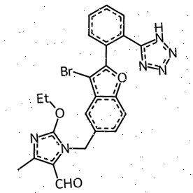 CCOc1nc(C)c(C=O)n1Cc1ccc2oc(-c3ccccc3-c3nnn[nH]3)c(Br)c2c1